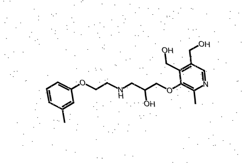 Cc1cccc(OCCNCC(O)COc2c(C)ncc(CO)c2CO)c1